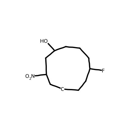 O=[N+]([O-])C1CCCCC(F)CCCC(O)C1